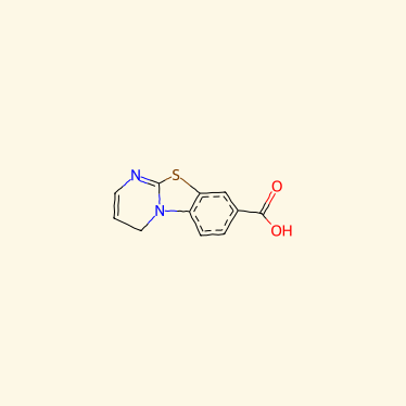 O=C(O)c1ccc2c(c1)SC1=NC=CCN12